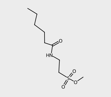 CCCCCC(=O)NCCS(=O)(=O)OC